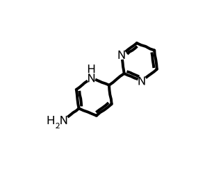 NC1=CNC(c2ncccn2)C=C1